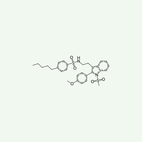 CCCCCc1ccc(S(=O)(=O)NCCc2c(-c3ccc(OC)cc3)n(S(C)(=O)=O)c3ccccc23)cc1